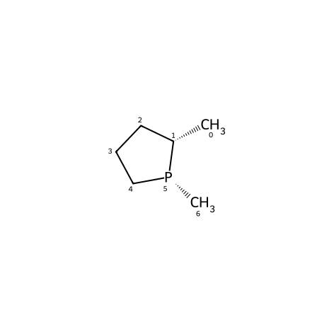 C[C@H]1CCC[P@@]1C